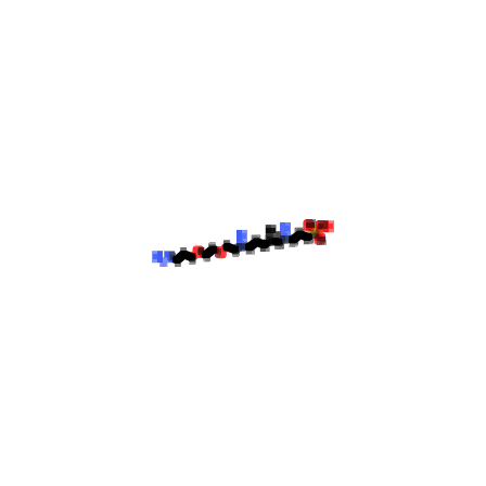 NCCCOCCOCCNCCC[SiH2]CNCCCS(=O)(=O)O